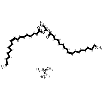 CCCCCCCC/C=C\CCCCCCCC(=O)OC(CC)OC(=O)CCCCCCC/C=C\CCCCCCCC.CN(C)C.Cl